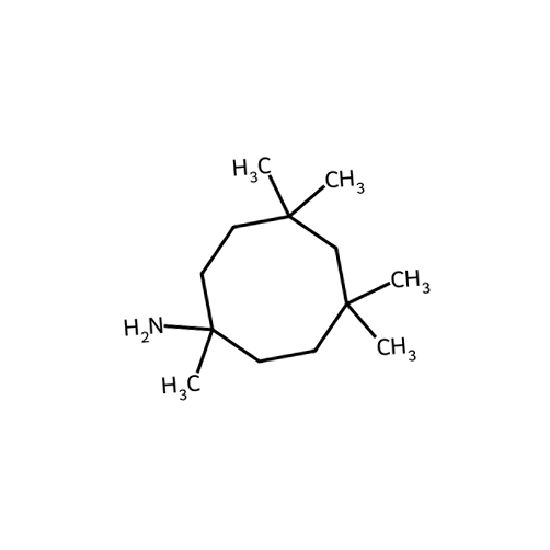 CC1(C)CCC(C)(N)CCC(C)(C)C1